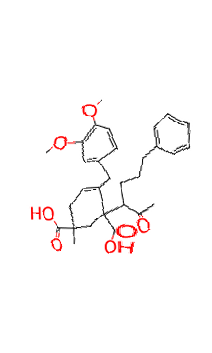 COc1ccc(CC2=CCC(C)(C(=O)O)CC2(C(=O)O)C(CCCc2ccccc2)C(C)=O)cc1OC